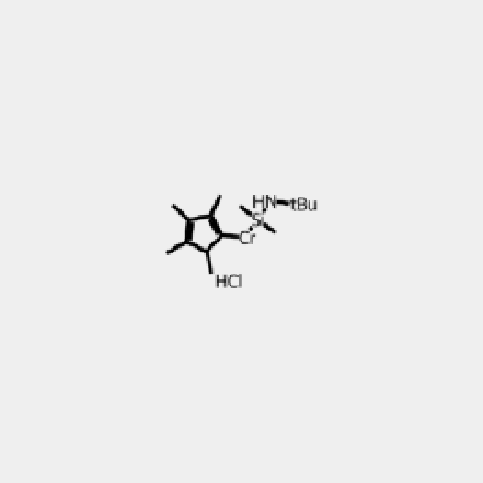 CC1=C(C)C(C)[C]([Cr][Si](C)(C)NC(C)(C)C)=C1C.Cl